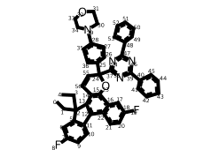 CCC1(CC)c2cc(F)ccc2-c2c1c1c(c3cc(F)ccc23)OC(c2ccc(N3CCOCC3)cc2)(c2nc(-c3ccccc3)nc(-c3ccccc3)n2)C=C1